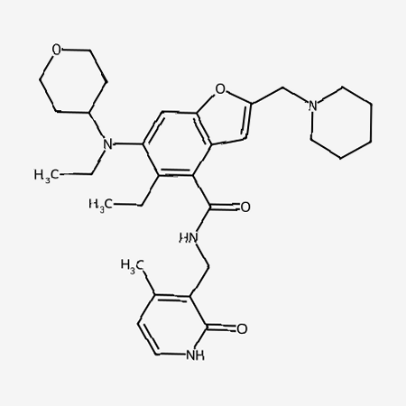 CCc1c(N(CC)C2CCOCC2)cc2oc(CN3CCCCC3)cc2c1C(=O)NCc1c(C)cc[nH]c1=O